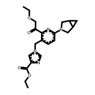 CCOCC(=O)c1nc(N2CC3CC3C2)ccc1Cn1cnc(C(=O)OCC)c1